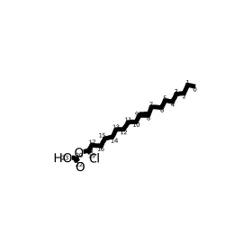 CCCCCCCC/C=C/CCCCCCCCC(Cl)OC(=O)O